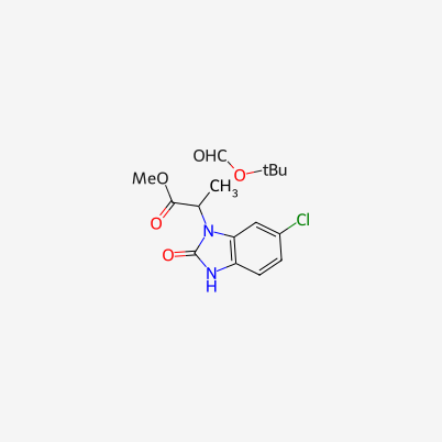 CC(C)(C)OC=O.COC(=O)C(C)n1c(=O)[nH]c2ccc(Cl)cc21